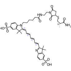 C[C@H](CSC1CC(=O)N(CCNC(=O)CCCCCN2/C(=C/C=C/C=C/C=C/C3=Nc4ccc(S(=O)(=O)O)cc4C3(C)C)C(C)(C)c3cc(S(=O)(=O)O)ccc32)C1=O)C(N)=O